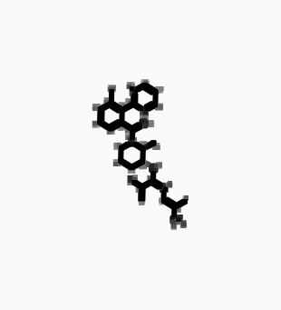 C=C(F)/C(=N\C=C(/C)C(F)(F)F)O[C@@H]1CCCN(C(=O)c2cccc(C)c2-c2ncccn2)[C@H]1C